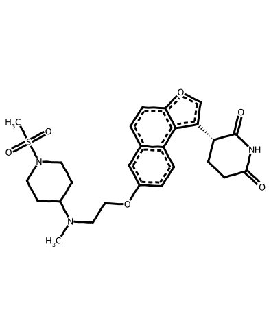 CN(CCOc1ccc2c(ccc3occ([C@H]4CCC(=O)NC4=O)c32)c1)C1CCN(S(C)(=O)=O)CC1